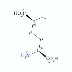 C[C@@H](CC[C@H](N)C(=O)O)C(=O)O